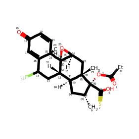 CCC(=O)O[C@]1(C(O)=S)[C@H](C)C[C@H]2[C@@H]3CC(F)C4=CC(=O)C=C[C@]4(C)[C@@]34O[C@H]4C[C@@]21C